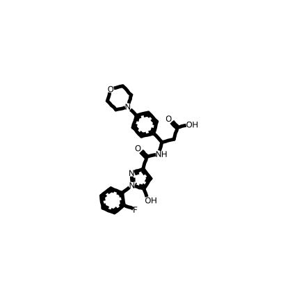 O=C(O)CC(NC(=O)c1cc(O)n(-c2ccccc2F)n1)c1ccc(N2CCOCC2)cc1